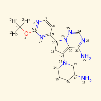 [2H]C([2H])([2H])Oc1nccc(-c2cc(N3CCCC(N)C3)c3c(N)ncnn23)n1